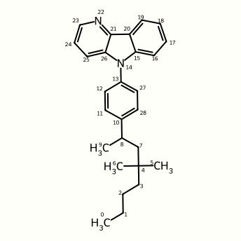 CCCCC(C)(C)CC(C)c1ccc(-n2c3ccccc3c3ncccc32)cc1